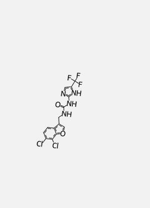 O=C(NCc1coc2c(Cl)c(Cl)ccc12)Nc1ncc(C(F)(F)F)[nH]1